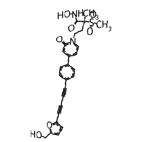 C[C@@](CCn1ccc(-c2ccc(C#CC#Cc3ccc(CO)o3)cc2)cc1=O)(C(=O)NO)S(C)(=O)=O